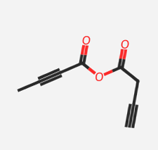 C#CCC(=O)OC(=O)C#CC